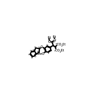 CCOC(=O)C(C(=O)OCC)C(c1ccc(OC)c(OC2Cc3ccccc3C2)c1)C(OCC)OCC